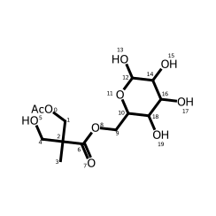 CC(=O)OCC(C)(CO)C(=O)OCC1OC(O)C(O)C(O)C1O